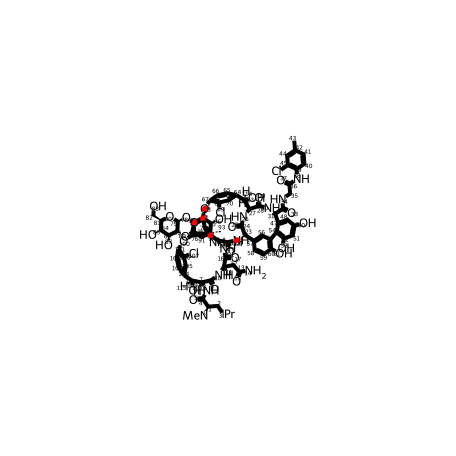 CN[C@H](CC(C)C)C(=O)N[C@H]1C(=O)N[C@@H](CC(N)=O)C(=O)NC2C(=O)N[C@H]3C(=O)N[C@H](C(=O)NC(C(=O)NCC(=O)Nc4ccc(C)cc4Cl)c4cc(O)cc(O)c4-c4cc3ccc4O)[C@H](O)c3ccc(c(Cl)c3)Oc3cc2cc(c3O[C@@H]2O[C@H](CO)[C@@H](O)[C@H](O)[C@H]2OC2C[C@](C)(N)[C@H](O)[C@H](C)O2)Oc2ccc(cc2Cl)[C@H]1O